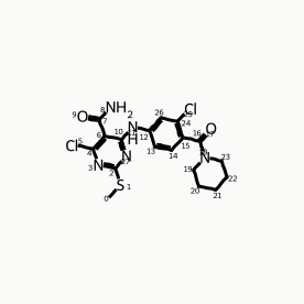 CSc1nc(Cl)c(C(N)=O)c(Nc2ccc(C(=O)N3CCCCC3)c(Cl)c2)n1